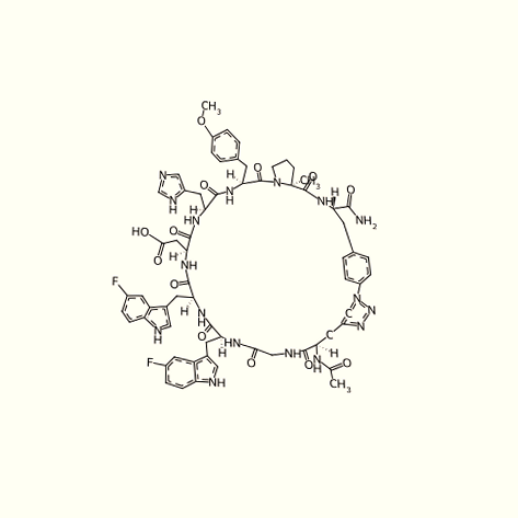 COc1ccc(C[C@@H]2NC(=O)[C@H](Cc3cnc[nH]3)NC(=O)[C@H](CC(=O)O)NC(=O)[C@H](Cc3c[nH]c4ccc(F)cc34)NC(=O)[C@H](Cc3c[nH]c4ccc(F)cc34)NC(=O)CNC(=O)[C@H](NC(C)=O)Cc3cn(nn3)-c3ccc(cc3)C[C@@H](C(N)=O)NC(=O)[C@]3(C)CCCN3C2=O)cc1